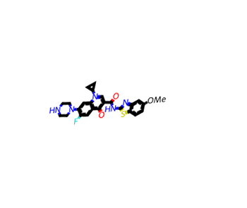 COc1ccc2sc(NC(=O)c3cn(C4CC4)c4cc(N5CCNCC5)c(F)cc4c3=O)nc2c1